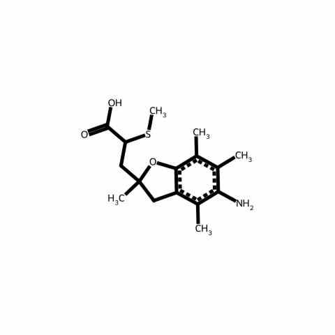 CSC(CC1(C)Cc2c(C)c(N)c(C)c(C)c2O1)C(=O)O